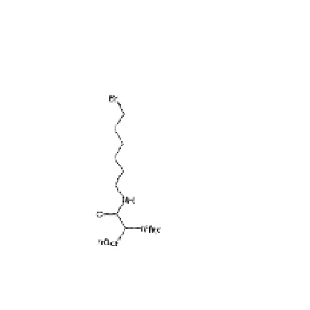 CCCCCCCCC(CCCCCC)C(=O)NCCCCCCBr